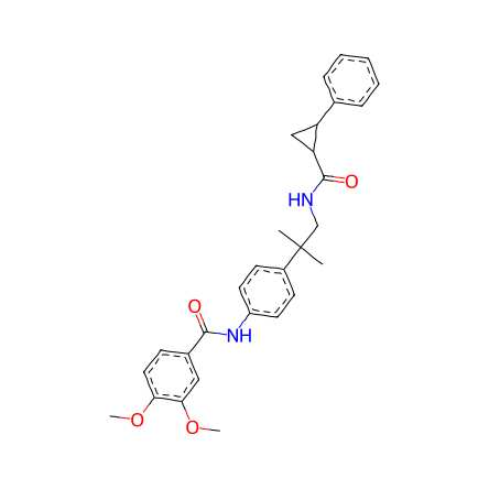 COc1ccc(C(=O)Nc2ccc(C(C)(C)CNC(=O)C3CC3c3ccccc3)cc2)cc1OC